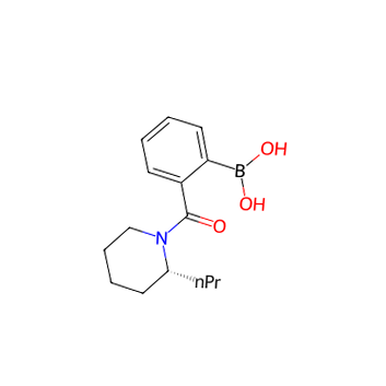 CCC[C@@H]1CCCCN1C(=O)c1ccccc1B(O)O